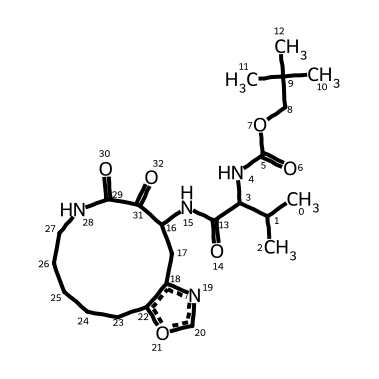 CC(C)C(NC(=O)OCC(C)(C)C)C(=O)NC1Cc2ncoc2CCCCCNC(=O)C1=O